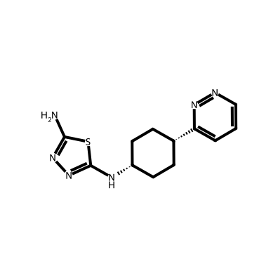 Nc1nnc(N[C@H]2CC[C@@H](c3cccnn3)CC2)s1